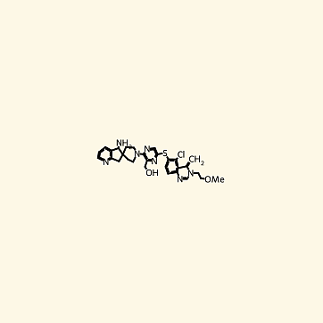 C=C1c2c(ccc(Sc3cnc(N4CCC5(CC4)Cc4ncccc4C5N)c(CO)n3)c2Cl)N=CN1CCOC